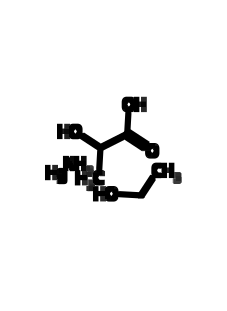 CC(O)C(=O)O.CCO.N.[Hg]